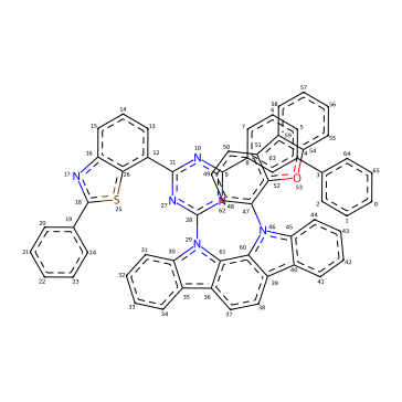 c1ccc(-c2cccc(-c3nc(-c4cccc5nc(-c6ccccc6)sc45)nc(-n4c5ccccc5c5ccc6c7ccccc7n(-c7cccc8c7oc7ccccc78)c6c54)n3)c2)cc1